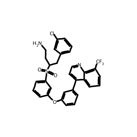 NCCC(Cc1cccc(Cl)c1)S(=O)(=O)c1cccc(Oc2cccc(-c3ccnc4c(C(F)(F)F)cccc34)c2)c1